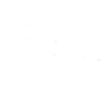 CCCCc1nc(C)c(CC(=O)N2CCNCC2)c(=O)n1Cc1ccc(-c2ccccc2S(=O)(=O)N(COC)c2noc(C)c2C)c(COCC)c1